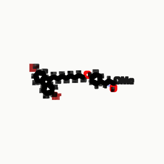 COC(=O)/C=C/c1ccc(OCCCCCCCCC2c3cc(Br)ccc3-c3ccc(Br)cc32)cc1